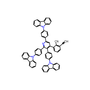 C#Cc1cccc(-c2cc(-c3ccc(-n4c5ccccc5c5ccccc54)cc3)nc(-c3ccc(-n4c5ccccc5c5ccccc54)cc3)c2-c2ccc(-n3c4ccccc4c4ccccc43)cc2)c1C#N